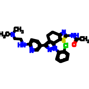 CC(=O)Nc1nc2c(s1)-c1c(c(-c3ccc(NCCN(C)C)nc3)nn1-c1ccccc1Cl)CC2